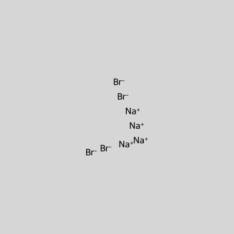 [Br-].[Br-].[Br-].[Br-].[Na+].[Na+].[Na+].[Na+]